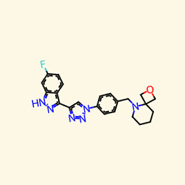 Fc1ccc2c(-c3cn(-c4ccc(CN5CCCCC56COC6)cc4)nn3)n[nH]c2c1